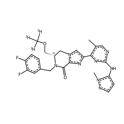 [2H]C([2H])([2H])OC[C@@H]1Cn2cc(-c3nc(Nc4ccnn4C)ncc3C)nc2C(=O)N1Cc1ccc(F)c(F)c1